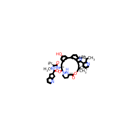 CCn1c(-c2cccnc2[C@H](C)OC)c2c3cc(ccc31)-c1cc(O)cc(c1)C[C@H](NC(=O)[C@H](C(C)C)N(C)C(=O)C1Cc3cccnc3C1)C(=O)N1CCC[C@H](N1)C(=O)OCC(C)(C)C2